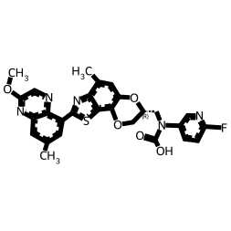 COc1cnc2c(-c3nc4c(C)cc5c(c4s3)OC[C@@H](CN(C(=O)O)c3ccc(F)nc3)O5)cc(C)cc2n1